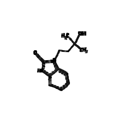 CC(C)(O)CCn1c(=O)[nH]c2ccccc21